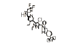 CCc1cc(NC(C)(C)CC(F)(F)F)ncc1-c1c(Cl)c(C(=O)NCC2CCC(S(C)(=O)=O)CC2)nn1CC